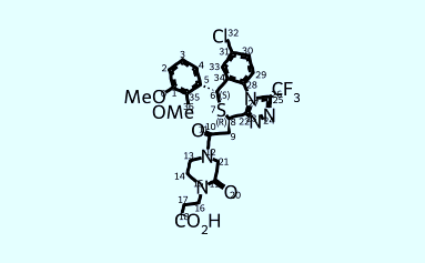 COc1cccc([C@H]2S[C@H](CC(=O)N3CCN(CCC(=O)O)C(=O)C3)c3nnc(C(F)(F)F)n3-c3ccc(Cl)cc32)c1OC